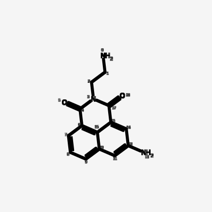 NCCN1C(=O)c2cccc3cc(N)cc(c23)C1=O